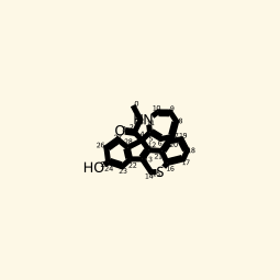 CCC(=O)C1(C2=CC=CC=CN2)C2=C(CSc3ccccc32)c2cc(O)ccc21